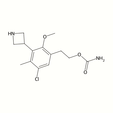 COc1c(CCOC(N)=O)cc(Cl)c(C)c1C1CNC1